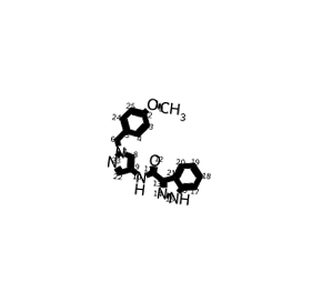 COc1ccc(Cn2cc(NC(=O)c3n[nH]c4ccccc34)cn2)cc1